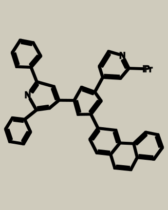 CC(C)c1cc(-c2cc(-c3cc(-c4ccccc4)nc(-c4ccccc4)c3)cc(-c3ccc4ccc5ccccc5c4c3)c2)ccn1